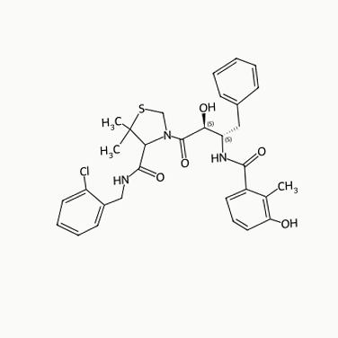 Cc1c(O)cccc1C(=O)N[C@@H](Cc1ccccc1)[C@H](O)C(=O)N1CSC(C)(C)C1C(=O)NCc1ccccc1Cl